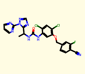 CC(NC(=O)Nc1cc(OCc2ccc(C#N)c(F)c2)c(Cl)cc1Cl)c1ncnn1-c1ncccn1